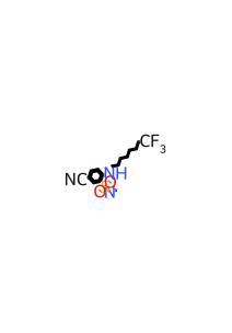 CN(C)S(=O)(=O)c1cc(C#N)ccc1NCCCCCCCC(F)(F)F